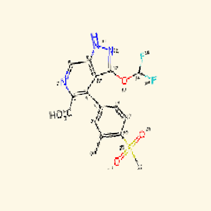 Cc1cc(-c2c(C(=O)O)ncc3[nH]nc(OC(F)F)c23)ccc1S(C)(=O)=O